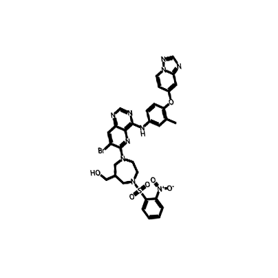 Cc1cc(Nc2ncnc3cc(Br)c(N4CCN(S(=O)(=O)c5ccccc5[N+](=O)[O-])CC(CO)C4)nc23)ccc1Oc1ccn2ncnc2c1